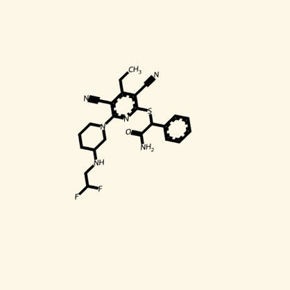 CCc1c(C#N)c(SC(C(N)=O)c2ccccc2)nc(N2CCCC(NCC(F)F)C2)c1C#N